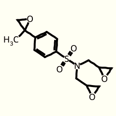 CC1(c2ccc(S(=O)(=O)N(CC3CO3)CC3CO3)cc2)CO1